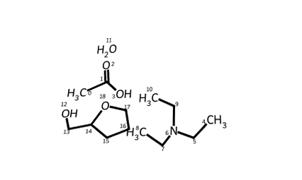 CC(=O)O.CCN(CC)CC.O.OCC1CCCO1